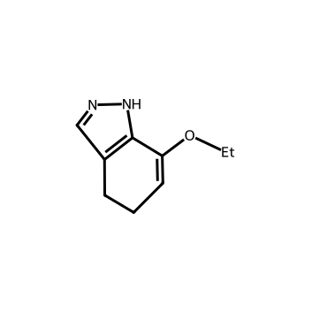 CCOC1=CCCc2cn[nH]c21